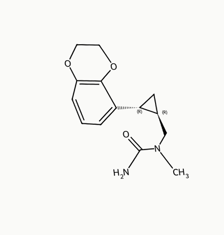 CN(C[C@@H]1C[C@H]1c1cccc2c1OCCO2)C(N)=O